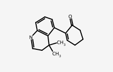 CC1(C)CC=Nc2cccc(C3=CCCCC3=O)c21